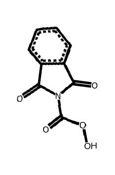 O=C(OO)N1C(=O)c2ccccc2C1=O